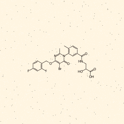 Cc1ccc(C(=O)NCC(O)C(=O)O)cc1-n1c(C)nc(OCc2ccc(F)cc2F)c(Br)c1=O